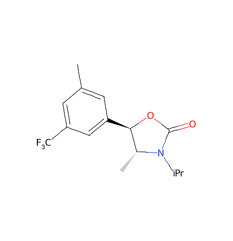 Cc1cc([C@H]2OC(=O)N(C(C)C)[C@@H]2C)cc(C(F)(F)F)c1